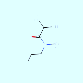 CC(C)CCN(C(=O)C(C)C(C)C)C(C)C